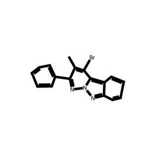 Cc1c(-c2ccccc2)nn2nc3ccccc3c2c1Br